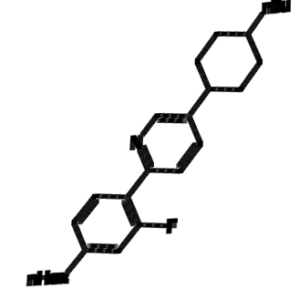 CCCCCCc1ccc(-c2ccc(C3CCC(CCCC)CC3)cn2)c(F)c1